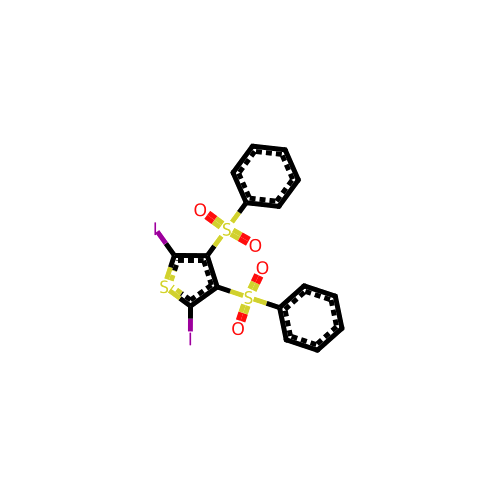 O=S(=O)(c1ccccc1)c1c(I)sc(I)c1S(=O)(=O)c1ccccc1